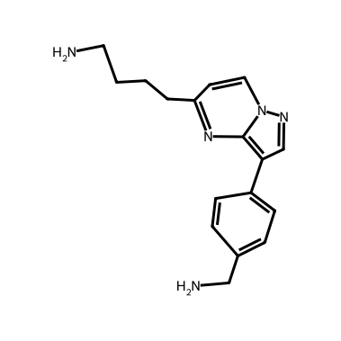 NCCCCc1ccn2ncc(-c3ccc(CN)cc3)c2n1